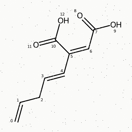 C=CCC=CC(=CC(=O)O)C(=O)O